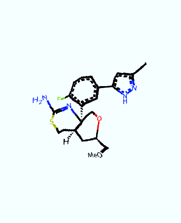 COC[C@H]1C[C@H]2CSC(N)=N[C@@]2(c2cc(-c3cc(C)n[nH]3)ccc2F)CO1